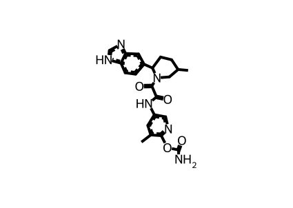 Cc1cc(NC(=O)C(=O)N2CC(C)CCC2c2ccc3[nH]cnc3c2)cnc1OC(N)=O